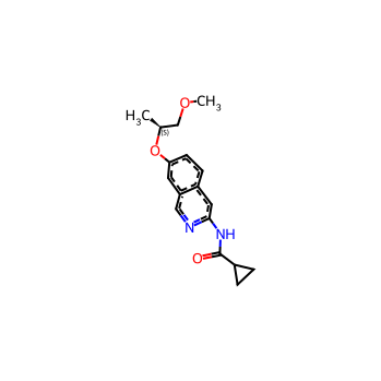 COC[C@H](C)Oc1ccc2cc(NC(=O)C3CC3)ncc2c1